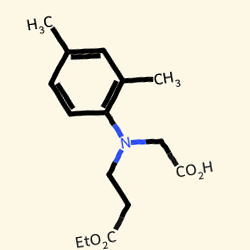 CCOC(=O)CCN(CC(=O)O)c1ccc(C)cc1C